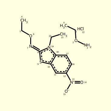 CCON.CCON=c1sc2cc([N+](=O)[O-])ccc2n1CC.Cl